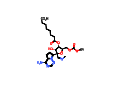 C/N=C\[C@@]1(c2ccc3c(N)ncnn23)O[C@H](COC(=O)OC(C)C)[C@@H](OC(=O)CCCCCCC(=O)O)[C@H]1O